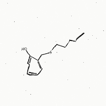 CCCCCSCc1ccccc1O